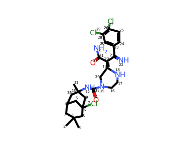 CC1(C)CC2CC(Cl)(C1)CC(C)(NC(=O)N1CCN/C(=C(\C(=N)c3ccc(Cl)c(Cl)c3)C(N)=O)C1)C2